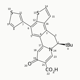 CC(C)(C)[C@@H]1Cc2c(cc(-c3ccsc3)c3sccc23)-c2cc(=O)c(C(=O)O)cn21